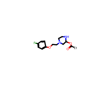 CCC(=O)OC1CN(CCOc2ccc(F)cc2)CCN1